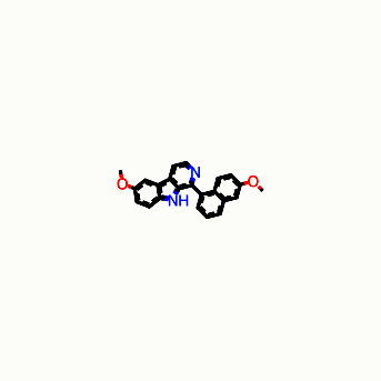 COc1ccc2c(-c3nccc4c3[nH]c3ccc(OC)cc34)cccc2c1